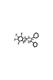 Fc1c(F)c(F)c(SP2(=S)O[C@H](c3ccccc3)[C@H](c3ccccc3)S2)c(F)c1F